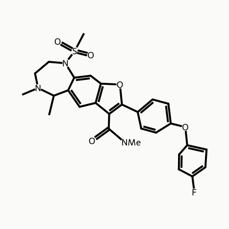 CNC(=O)c1c(-c2ccc(Oc3ccc(F)cc3)cc2)oc2cc3c(cc12)C(C)N(C)CCN3S(C)(=O)=O